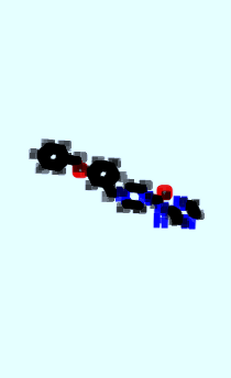 O=C(Nc1cnccn1)N1CCN(Cc2cccc(OCc3ccccc3)c2)CC1